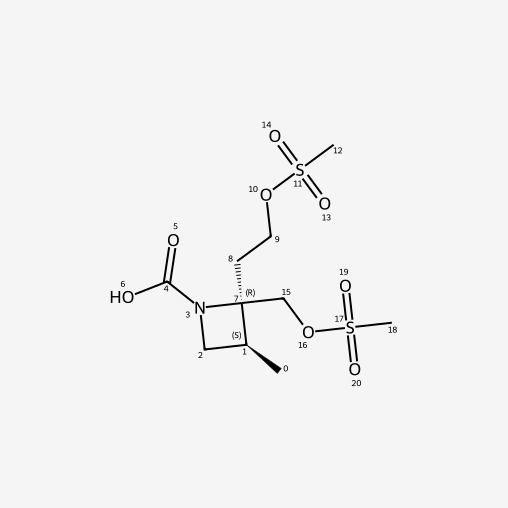 C[C@H]1CN(C(=O)O)[C@@]1(CCOS(C)(=O)=O)COS(C)(=O)=O